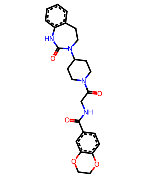 O=C(NCC(=O)N1CCC(N2CCc3ccccc3NC2=O)CC1)c1ccc2c(c1)OCCO2